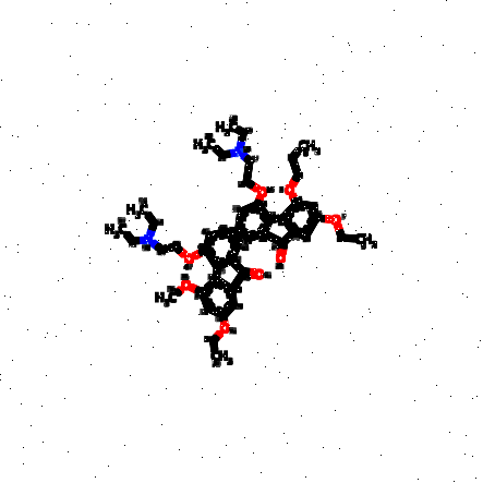 CCCOc1cc(OCC)cc2c1-c1c(OCCN(CC)CC)cccc1C2=O.CCOc1cc(OC)c2c(c1)C(=O)c1cccc(OCCN(CC)CC)c1-2